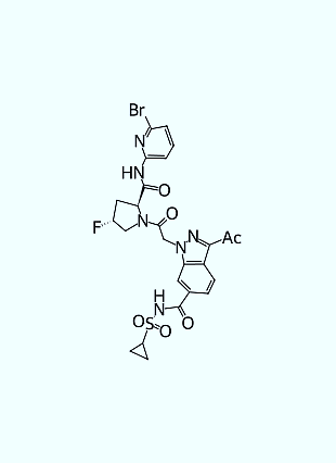 CC(=O)c1nn(CC(=O)N2C[C@H](F)C[C@H]2C(=O)Nc2cccc(Br)n2)c2cc(C(=O)NS(=O)(=O)C3CC3)ccc12